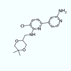 CC1(C)COC(CNc2nc(-c3ccnc(N)c3)ccc2Cl)CO1